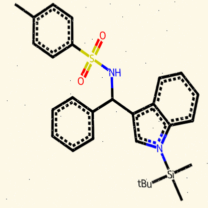 Cc1ccc(S(=O)(=O)NC(c2ccccc2)c2cn([Si](C)(C)C(C)(C)C)c3ccccc23)cc1